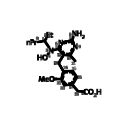 CCCC(CC)N(O)c1nc(N)nc(C)c1Cc1ccc(CC(=O)O)cc1OC